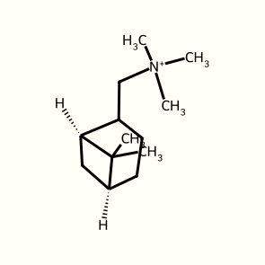 CC1(C)[C@H]2CCC(C[N+](C)(C)C)[C@@H]1C2